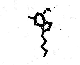 CCCCCn1ncc2c(N)cc(C)nc21